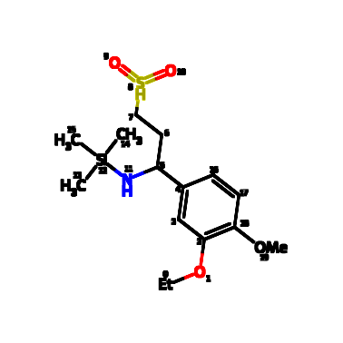 CCOc1cc(C(CC[SH](=O)=O)N[Si](C)(C)C)ccc1OC